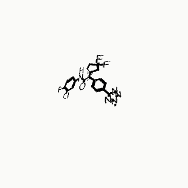 Cn1nnc(-c2ccc([C@@H](C(=O)Nc3ccc(F)c(Cl)c3)[C@H]3CCC(F)(F)C3)cc2)n1